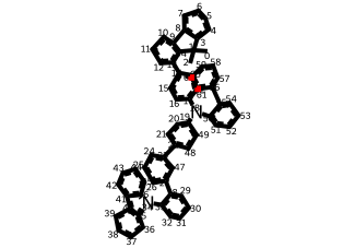 CC1(C)c2ccccc2-c2cccc(-c3ccc(N(c4ccc(-c5cccc(-c6ccccc6-n6c7ccccc7c7ccccc76)c5)cc4)c4ccccc4-c4ccccc4)cc3)c21